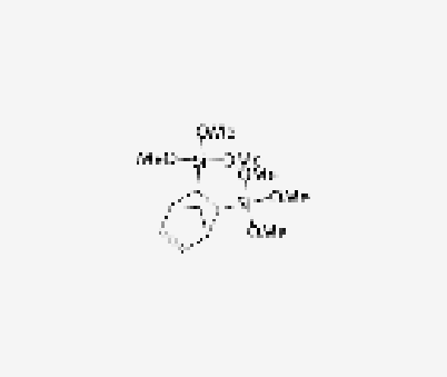 CO[Si](OC)(OC)C1C2C=CC(C2)C1[Si](OC)(OC)OC